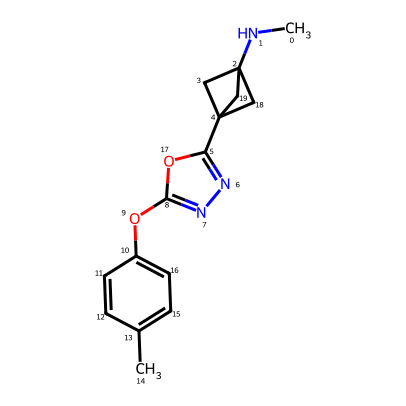 CNC12CC(c3nnc(Oc4ccc(C)cc4)o3)(C1)C2